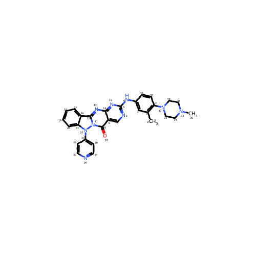 Cc1cc(Nc2ncc3c(=O)n4c(nc3n2)c2ccccc2n4-c2ccncc2)ccc1N1CCN(C)CC1